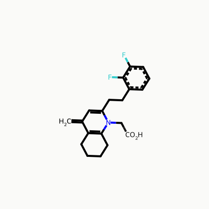 C=C1C=C(CCc2cccc(F)c2F)N(CC(=O)O)C2=C1CCCC2